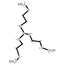 CCOC(=O)SCCOP(OCCSC(=O)OCC)OCCSC(=O)OCC